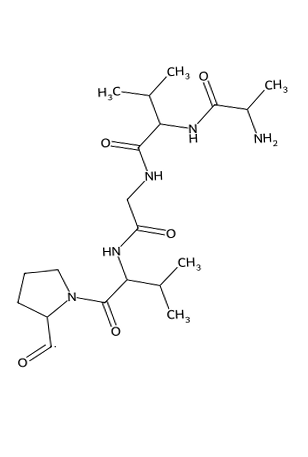 CC(N)C(=O)NC(C(=O)NCC(=O)NC(C(=O)N1CCCC1[C]=O)C(C)C)C(C)C